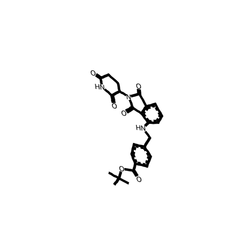 CC(C)(C)OC(=O)c1ccc(CNc2cccc3c2C(=O)N(C2CCC(=O)NC2=O)C3=O)cc1